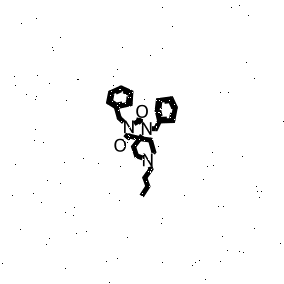 CCCCN1CCC2(CC1)C(=O)N(Cc1ccccc1)C(=O)N2Cc1ccccc1